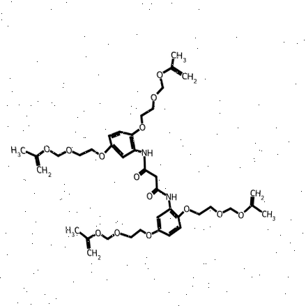 C=C(C)OCOCCOc1ccc(OCCOCOC(=C)C)c(NC(=O)CC(=O)Nc2cc(OCCOCOC(=C)C)ccc2OCCOCOC(=C)C)c1